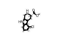 COC(=O)[C@@H]1Cc2c([nH]c3cccc(Cl)c23)CN1